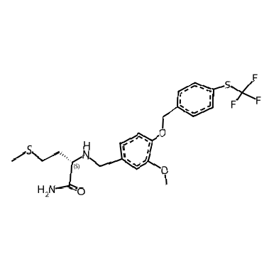 COc1cc(CN[C@@H](CCSC)C(N)=O)ccc1OCc1ccc(SC(F)(F)F)cc1